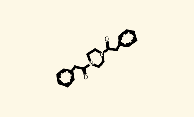 O=C(Cc1ccccc1)N1CCN(C(=O)Cc2ccccc2)CC1